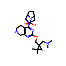 CN(C)CC1(COc2nc3c(c(N4CC5CCC(C4)N5C(=O)O)n2)CCNC3)CC1(C)C